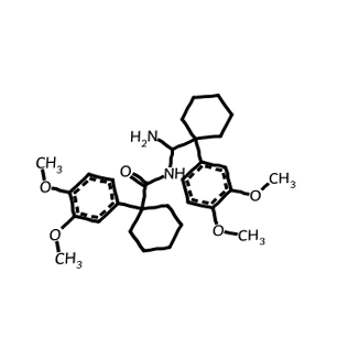 COc1ccc(C2(C(=O)NC(N)C3(c4ccc(OC)c(OC)c4)CCCCC3)CCCCC2)cc1OC